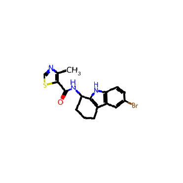 Cc1ncsc1C(=O)NC1CCCc2c1[nH]c1ccc(Br)cc21